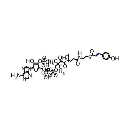 CC(C)(COP(=O)(O)OP(=O)(O)OC[C@H]1O[C@@H](n2cnc3c(N)ncnc32)[C@H](O)[C@@H]1OP(=O)(O)O)[C@@H](O)C(=O)NCCC(=O)NCCSC(=O)/C=C/c1ccc(O)cc1